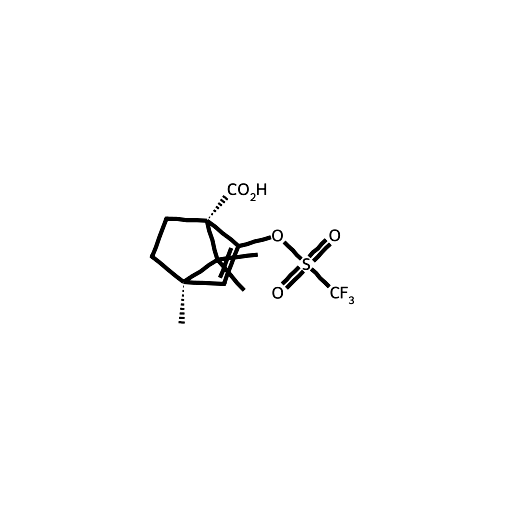 CC1(C)[C@@]2(C(=O)O)CC[C@]1(C)C=C2OS(=O)(=O)C(F)(F)F